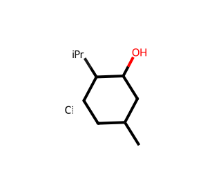 CC1CCC(C(C)C)C(O)C1.[C]